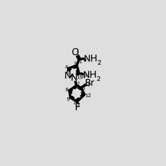 NC(=O)c1cnn(-c2ccc(F)cc2Br)c1N